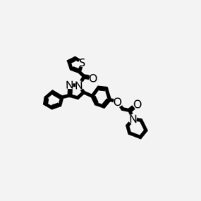 O=C(COc1ccc(C2CC(c3ccccc3)=NN2C(=O)c2cccs2)cc1)N1CCCCC1